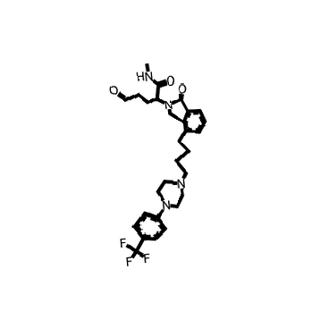 CNC(=O)C(CCC=O)N1Cc2c(CCCCN3CCN(c4ccc(C(F)(F)F)cc4)CC3)cccc2C1=O